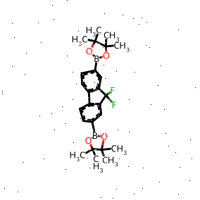 CC1(C)OB(c2ccc3c(c2)C(F)(F)c2cc(B4OC(C)(C)C(C)(C)O4)ccc2-3)OC1(C)C